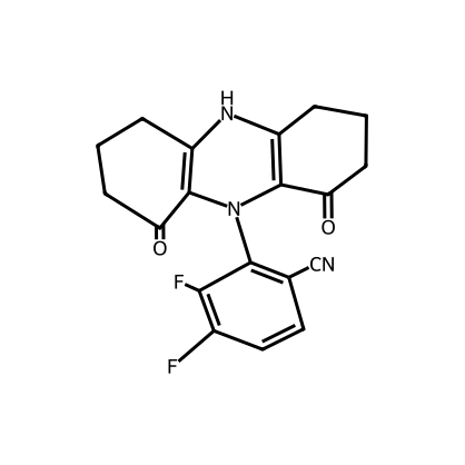 N#Cc1ccc(F)c(F)c1N1C2=C(CCCC2=O)NC2=C1C(=O)CCC2